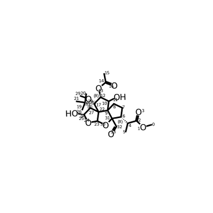 COC(=O)C(C)[C@H]1CCC23C(O)[C@H](OC(C)=O)[C@@H](C(C)(C)C)C24C(O[C@@H](O)[C@@H]4OC)OC13C=O